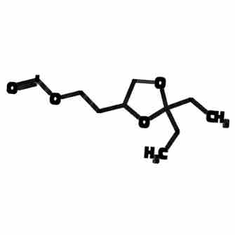 CCC1(CC)OCC(CCO[C]=O)O1